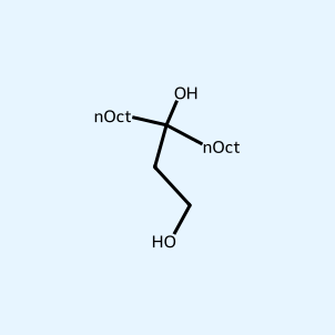 CCCCCCCCC(O)(CCO)CCCCCCCC